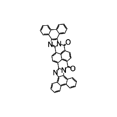 O=c1c2ccc3c(=O)n4c(nc5c6ccccc6c6ccccc6c54)c4ccc(c2c34)c2nc3c4ccccc4c4ccccc4c3n12